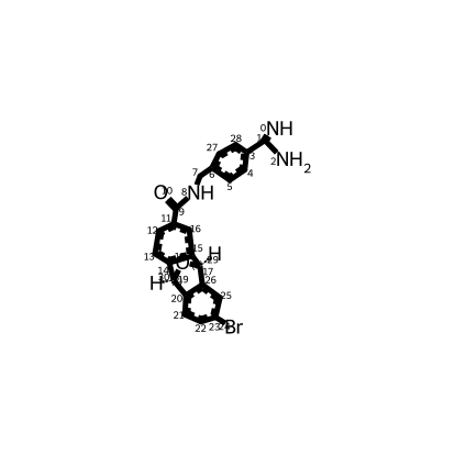 N=C(N)c1ccc(CNC(=O)c2ccc3c(c2)[C@@H]2O[C@H]3c3ccc(Br)cc32)cc1